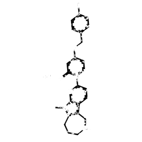 Cl.Cn1c2c(c3ccc(-n4ccc(OCc5ccc(F)cc5)cc4=O)nc31)CNCCC2